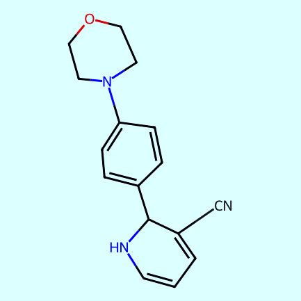 N#CC1=CC=CNC1c1ccc(N2CCOCC2)cc1